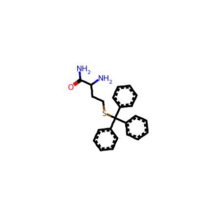 NC(=O)C(N)CCSC(c1ccccc1)(c1ccccc1)c1ccccc1